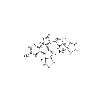 CC1(n2c(=O)c3c(-c4noc(C5(O)CCCC5)n4)ncn3c3ccc(Cl)cc32)CCCO1